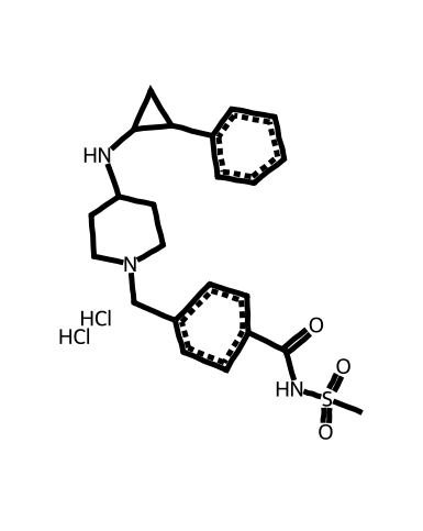 CS(=O)(=O)NC(=O)c1ccc(CN2CCC(NC3CC3c3ccccc3)CC2)cc1.Cl.Cl